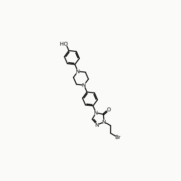 O=c1n(-c2ccc(N3CCN(c4ccc(O)cc4)CC3)cc2)cnn1CCBr